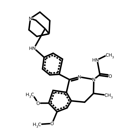 CNC(=O)N1N=C(c2ccc(NC3CN4CCC3CC4)cc2)c2cc(OC)c(OC)cc2CC1C